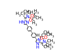 CC[C@@H](c1nc(-c2ccc(-c3ccc(-c4c[nH]c([C@@H]5CC(C)(C)C(C)N5C(=O)OC(C)(C)C)n4)cc3)cc2)c[nH]1)N(C(=O)OC(C)(C)C)C(C)C